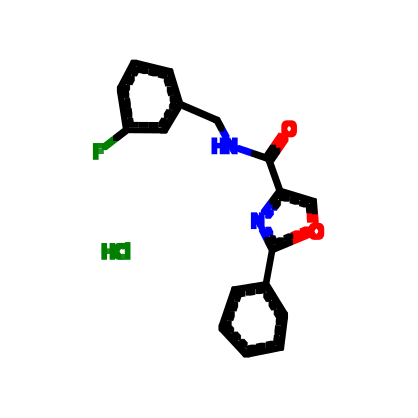 Cl.O=C(NCc1cccc(F)c1)c1coc(-c2ccccc2)n1